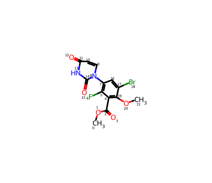 COC(=O)c1c(F)c(-n2ccc(=O)[nH]c2=O)cc(Br)c1OC